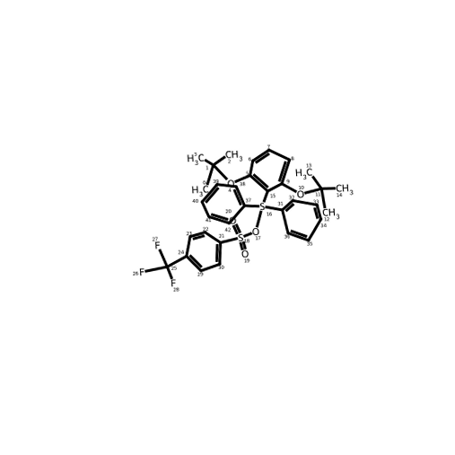 CC(C)(C)Oc1cccc(OC(C)(C)C)c1S(OS(=O)(=O)c1ccc(C(F)(F)F)cc1)(c1ccccc1)c1ccccc1